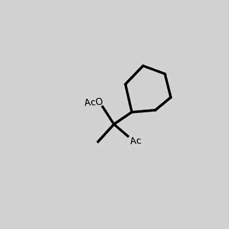 CC(=O)OC(C)(C(C)=O)C1CCCCC1